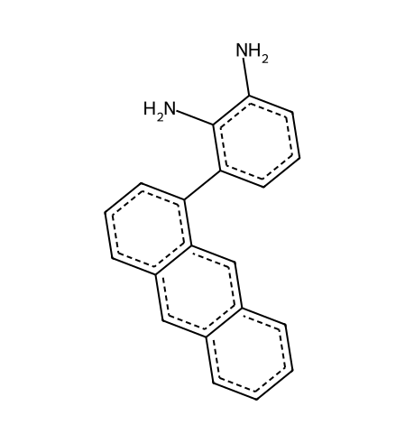 Nc1cccc(-c2cccc3cc4ccccc4cc23)c1N